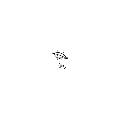 NC1C2C3C2C2C1C32